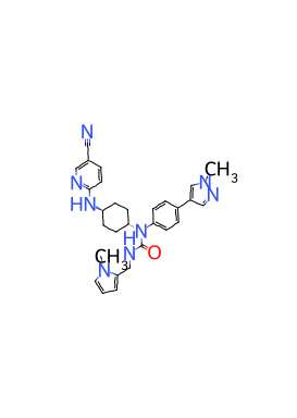 Cn1cc(-c2ccc(N(C(=O)NCc3cccn3C)[C@H]3CC[C@H](Nc4ccc(C#N)cn4)CC3)cc2)cn1